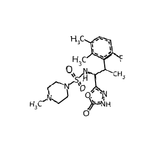 Cc1ccc(F)c(C(C)[C@H](NS(=O)(=O)N2CCN(C)CC2)c2n[nH]c(=O)o2)c1C